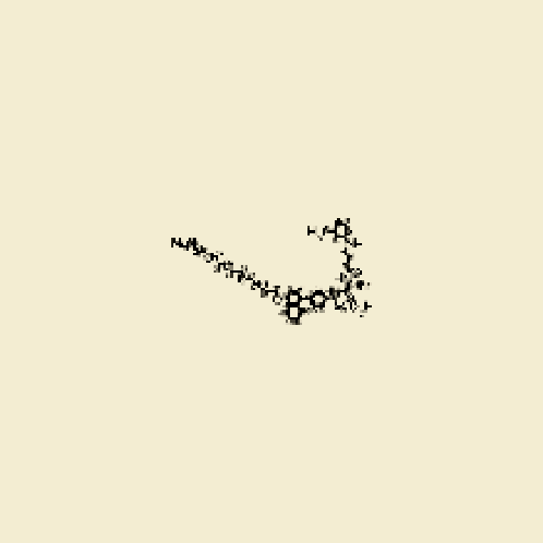 Cc1ccnc(NCCCC(=O)N[C@@H](C(=O)N[C@@H](CC(=O)O)c2ccc(-c3ccc(OCCOCCOCCOCCOCCN=[N+]=[N-])c4ccccc34)cc2)C(C)C)c1